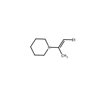 CCC=C(C)N1CCCCC1